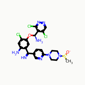 C[S+]([O-])N1CCN(c2ccc(C(=N)c3cc(O[C@H](N)c4c(Cl)cnnc4Cl)c(Cl)cc3N)cn2)CC1